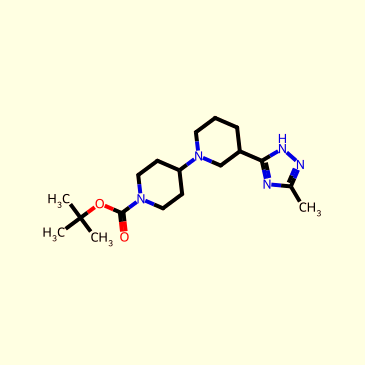 Cc1n[nH]c(C2CCCN(C3CCN(C(=O)OC(C)(C)C)CC3)C2)n1